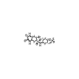 O=c1[nH]c2cc(Br)c(S(=O)(=O)Nc3ccc(OC(F)(F)F)cc3)cc2[nH]c1=O